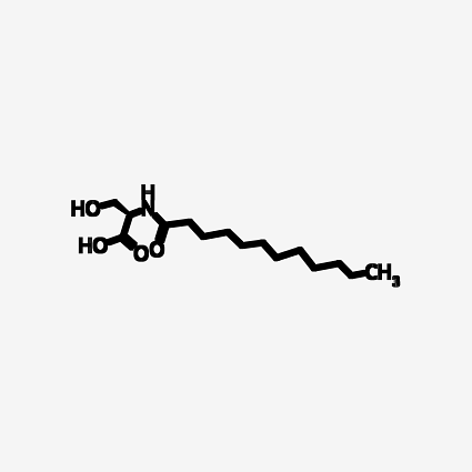 CCCCCCCCCCCC(=O)N[C@H](CO)C(=O)O